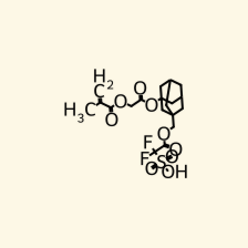 C=C(C)C(=O)OCC(=O)OC12CC3CC(CC(COC(=O)C(F)(F)S(=O)(=O)O)(C3)C1)C2